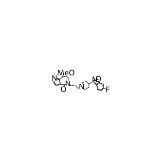 COC1CCN(CCCN2CCC(c3noc4cc(F)ccc34)CC2)C(=O)c2ccn(C)c21